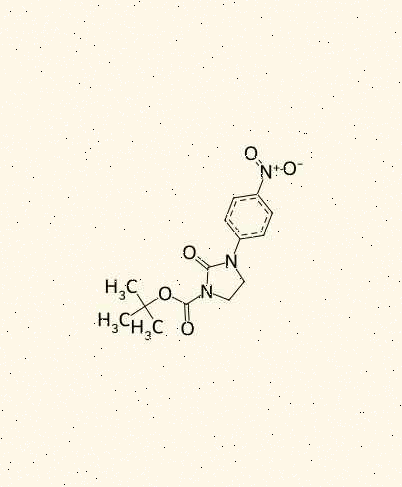 CC(C)(C)OC(=O)N1CCN(c2ccc([N+](=O)[O-])cc2)C1=O